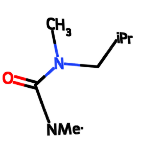 C[N]C(=O)N(C)CC(C)C